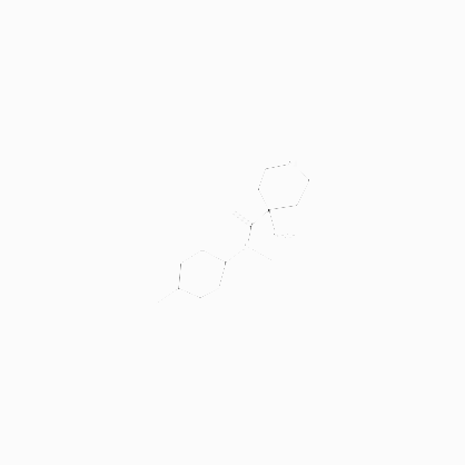 CNC1(C(=O)N(C)C2CCC(C)CC2)CCNCC1